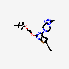 CCCc1cc2c(N3CCn4c(C)nnc4C3)nc(OCCO[Si](C)(C)C(C)(C)C)nc2s1